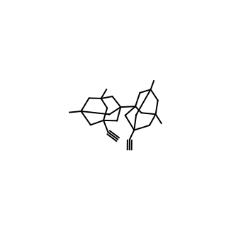 C#CC12CC3(C)CC(C)(C1)CC(C14CC5(C)CC(C)(CC(C#C)(C5)C1)C4)(C3)C2